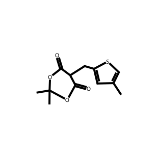 Cc1csc(CC2C(=O)OC(C)(C)OC2=O)c1